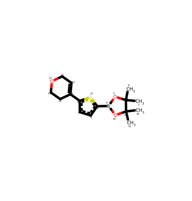 CC1(C)OB(c2ccc(C3=CCOCC3)s2)OC1(C)C